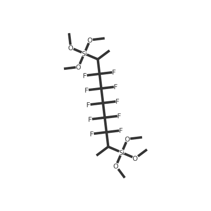 CO[Si](OC)(OC)C(C)C(F)(F)C(F)(F)C(F)(F)C(F)(F)C(F)(F)C(C)[Si](OC)(OC)OC